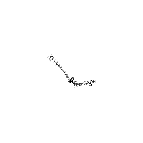 CC(C)(C)OC(=O)CCCCCCCCCCCCCCCCC(=O)NCC[N+](C)(C)CCOCCOCCC(=O)O